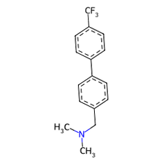 CN(C)Cc1ccc(-c2ccc(C(F)(F)F)cc2)cc1